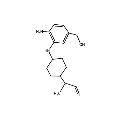 CC(C=O)C1CCC(Nc2cc(CO)ccc2N)CC1